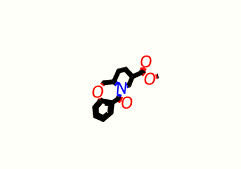 COC(=O)C1CCC2COc3ccccc3C(=O)N2C1